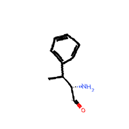 CC(c1ccccc1)[C@H](N)[C]=O